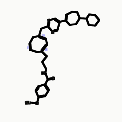 CC(C)(C)Oc1ccc(C(=O)NCCC/C2=C/C=C(/Cc3ncc(C4=CCCC(C5CCCCC5)CC4)cn3)C/C=C\C2)cc1